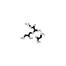 C=C(OCC(O)CO)C(=O)OC.C=CC(=O)O